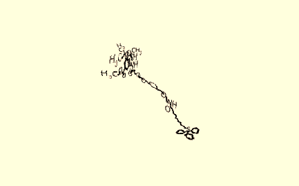 CCOC(=O)C1=C[C@@H](OC(CC)CC)[C@H](NC(C)=O)[C@@H](NC(=O)CCOCCOCCOCCOCCNC(=O)CCCCCCCCCCSC(c2ccccc2)(c2ccccc2)c2ccccc2)C1